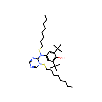 CCCCCCCCSN1C=NC=NC1N(SCCCCCCCC)c1cc(C(C)(C)C)c(O)c(C(C)(C)C)c1